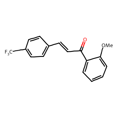 COc1ccccc1C(=O)/C=C/c1ccc(C(F)(F)F)cc1